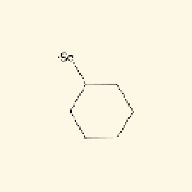 [Se]C1CCCCC1